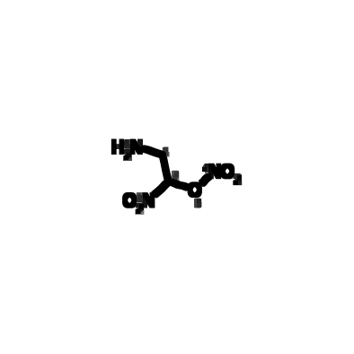 NCC(O[N+](=O)[O-])[N+](=O)[O-]